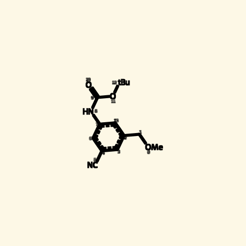 COCc1cc(C#N)cc(NC(=O)OC(C)(C)C)c1